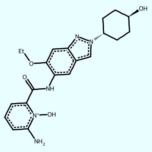 CCOc1cc2nn([C@H]3CC[C@H](O)CC3)cc2cc1NC(=O)c1cccc(N)[n+]1O